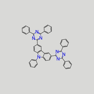 c1ccc(-c2nc(-c3ccccc3)nc(-c3ccc4c(c3)c3cc(-c5nc(-c6ccccc6)nc(-c6ccccc6)n5)ccc3n4-c3ccccc3)n2)cc1